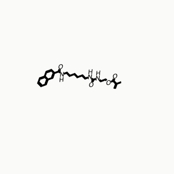 C=C(C)C(=O)OCCNC(=O)NCCCCCCNC(=O)c1ccc2ccccc2c1